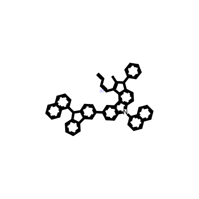 C=C/C=C\C1=C(C)C(c2ccccc2)c2ccc3c(c21)c1cc(-c2ccc4c(c2)-c2ccccc2C4c2cccc4ccccc24)ccc1n3-c1cccc2ccccc12